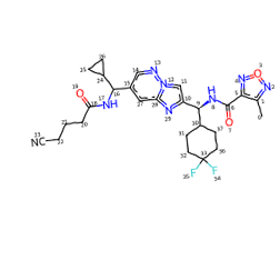 Cc1nonc1C(=O)N[C@H](c1cn2ncc(C(NC(=O)CCCC#N)C3CC3)cc2n1)C1CCC(F)(F)CC1